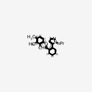 CCCn1nccc1C1=C(COc2ccc(C)c(O)c2C=O)CCCC1